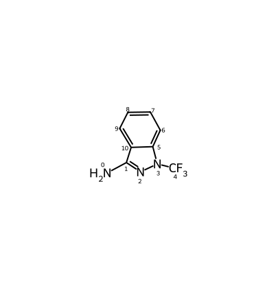 Nc1nn(C(F)(F)F)c2ccccc12